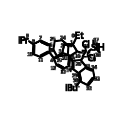 CCC1=Cc2c(-c3ccc(C(C)C)cc3)cccc2[CH]1[Zr]([Cl])([Cl])([CH]1C(C2CCCCC2)=Cc2c(C(C)CC)cccc21)[SiH](C)C